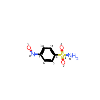 NS(=O)(=O)c1ccc(N=O)cc1